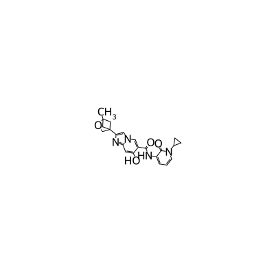 CC12CC(c3cn4cc(C(=O)Nc5cccn(C6CC6)c5=O)c(O)cc4n3)(CO1)C2